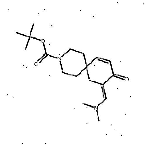 CN(C)/C=C1\CC2(C=CC1=O)CCN(C(=O)OC(C)(C)C)CC2